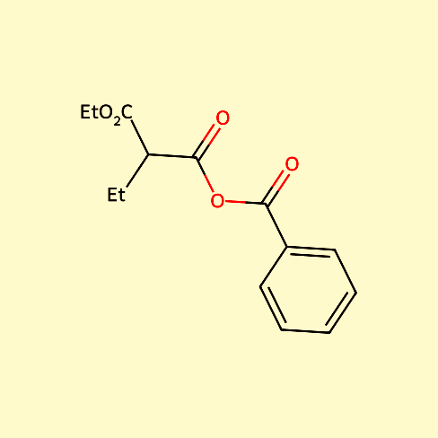 CCOC(=O)C(CC)C(=O)OC(=O)c1ccccc1